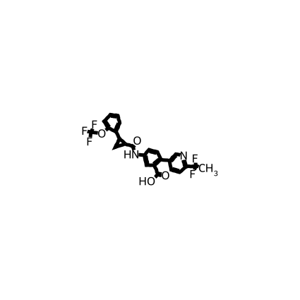 CC(F)(F)c1ccc(-c2ccc(NC(=O)C3CC3c3ccccc3OC(F)(F)F)cc2C(=O)O)cn1